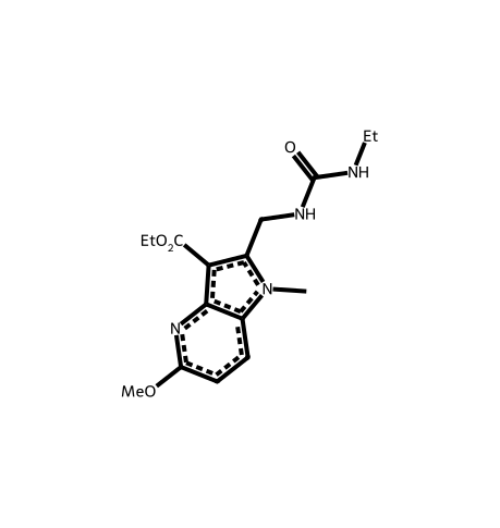 CCNC(=O)NCc1c(C(=O)OCC)c2nc(OC)ccc2n1C